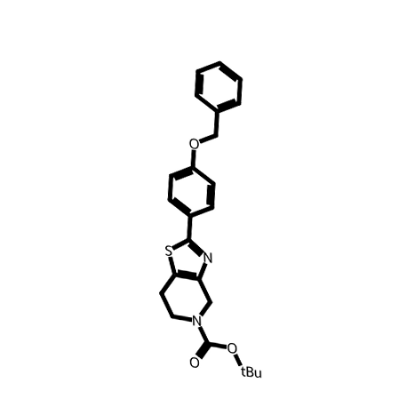 CC(C)(C)OC(=O)N1CCc2sc(-c3ccc(OCc4ccccc4)cc3)nc2C1